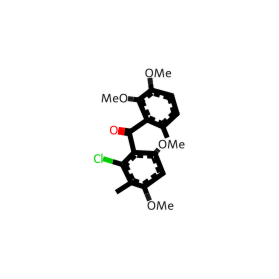 COc1cc(OC)c(C(=O)c2c(C)ccc(OC)c2OC)c(Cl)c1C